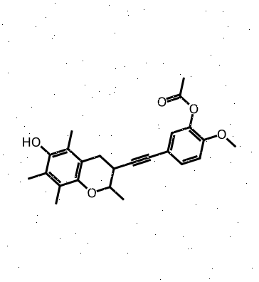 COc1ccc(C#CC2Cc3c(C)c(O)c(C)c(C)c3OC2C)cc1OC(C)=O